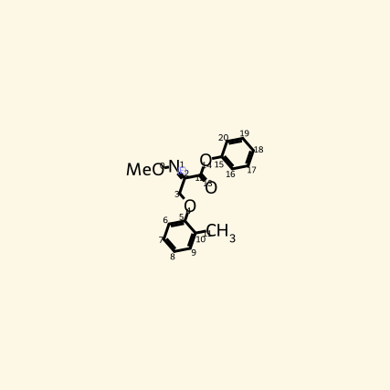 CO/N=C(\COc1ccccc1C)C(=O)Oc1ccccc1